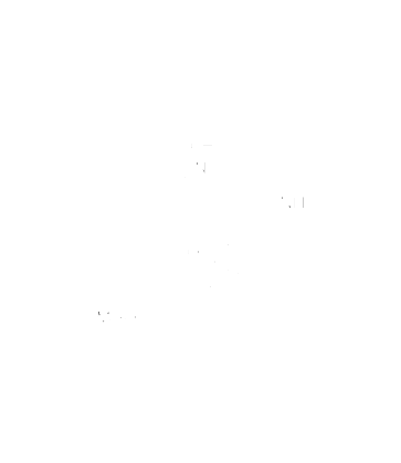 COc1ccc2c(c1)OP(=O)(Oc1cccc3[nH]cc(CCN(C)C)c13)O2